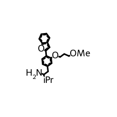 COCCCOc1cc(CC(N)C(C)C)ccc1-c1cc2ccccc2o1